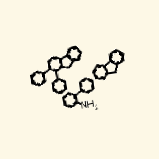 Nc1ccccc1-c1ccccc1.c1ccc(-c2ccc3c(c2-c2ccccc2)Cc2ccccc2-3)cc1.c1ccc2c(c1)Cc1ccccc1-2